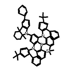 CC(C)(C)c1ccc(N2c3cc(N4c5ccc(-c6ccccc6)cc5C5(C)CCCCC45C)cc4c3B3c5c2cccc5[Si](C)(C)c2cccc(c23)N4c2ccc(C(C)(C)C)cc2-c2ccccc2)c(-c2ccccc2)c1